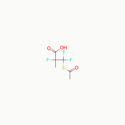 CC(=O)SC(F)(F)C(C)(F)C(=O)O